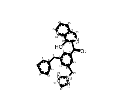 O=C(c1cc(Cc2ccccc2)cc(Cn2ncnn2)c1)c1ncc2cccnc2c1O